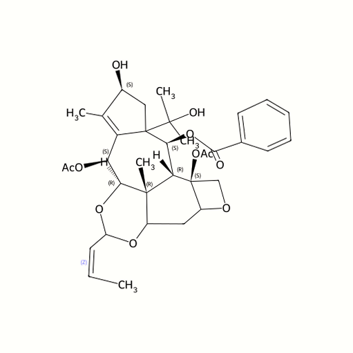 C/C=C\C1OC2CC3OC[C@@]3(OC(C)=O)[C@H]3[C@H](OC(=O)c4ccccc4)C4(C(C)(C)O)C[C@H](O)C(C)=C4[C@H](OC(C)=O)[C@H](O1)[C@@]23C